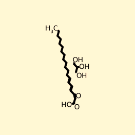 CCCCCCCCCCCCCC=CC=CC1=C(C(=O)O)O1.OCC(O)CO